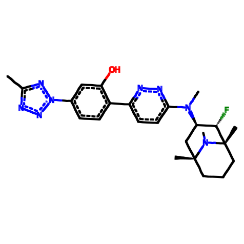 Cc1nnn(-c2ccc(-c3ccc(N(C)[C@@H]4C[C@@]5(C)CCC[C@@](C)([C@H]4F)N5C)nn3)c(O)c2)n1